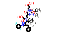 CC(C)(C)OC(=O)NC(CCN(C(=O)CO)C(c1nn(-c2cc(F)ccc2F)cc1Cc1ccccc1)C(C)(C)C)C(=O)NCCC(=O)O